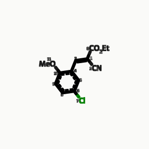 CCOC(=O)C(C#N)=Cc1cc(Cl)ccc1OC